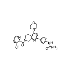 NC(=O)Nc1ccc(-c2nc3c(c(N4CCOCC4)n2)CCN(C(=O)c2nccnc2Cl)C3)cc1